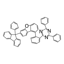 c1ccc(-c2nc(-c3ccccc3)nc(-c3ccccc3-c3cccc4oc5cc(C6(c7ccccc7)c7ccccc7-c7ccccc76)ccc5c34)n2)cc1